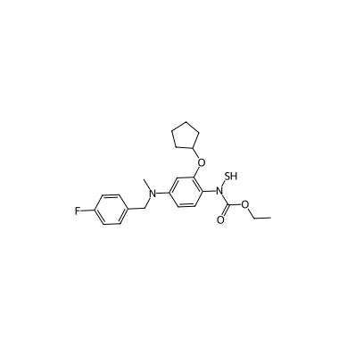 CCOC(=O)N(S)c1ccc(N(C)Cc2ccc(F)cc2)cc1OC1CCCC1